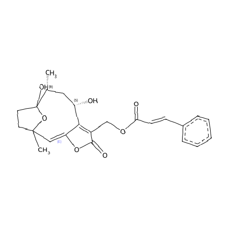 C[C@@H]1C[C@H](O)C2=C(COC(=O)C=Cc3ccccc3)C(=O)O/C2=C/C2(C)CCC1(O)O2